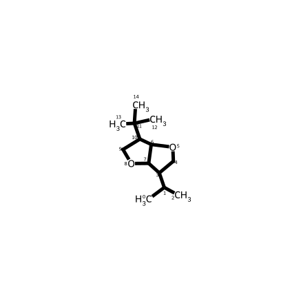 CC(C)C1COC2C1OCC2C(C)(C)C